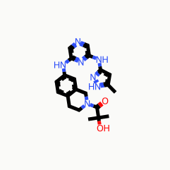 Cc1cc(Nc2cncc(Nc3ccc4c(c3)CN(C(=O)C(C)(C)O)CC4)n2)n[nH]1